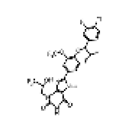 Cn1c(-c2ccc(OC(c3ccc(Cl)c(F)c3)C(F)F)c(OC(F)(F)F)c2)nc2c1c(=O)[nH]c(=O)n2CC(O)C(F)(F)F